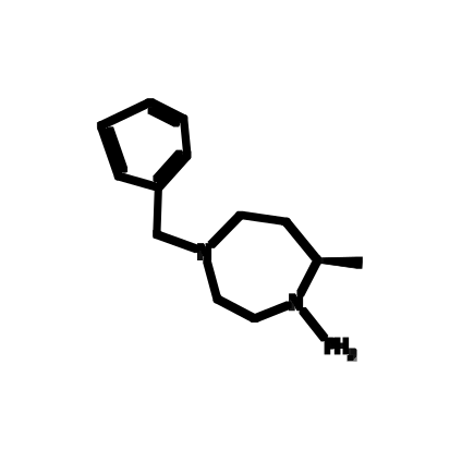 C[C@@H]1CCN(Cc2ccccc2)CCN1P